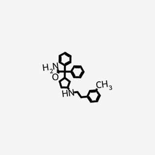 Cc1cccc(CCNC2CCC(C(C(N)=O)(c3ccccc3)c3ccccc3)C2)c1